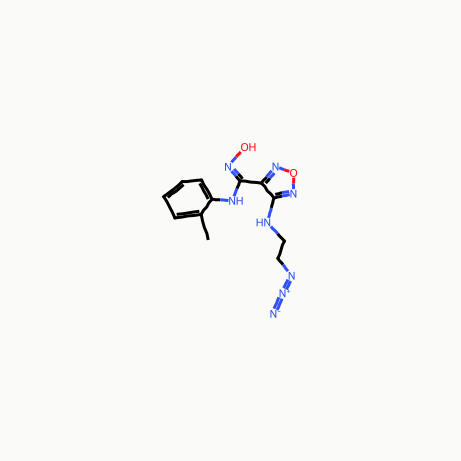 Cc1ccccc1NC(=NO)c1nonc1NCCN=[N+]=[N-]